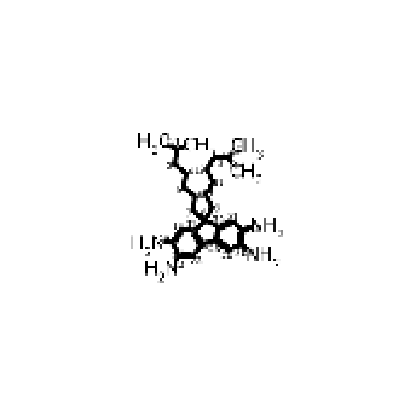 CC(C)CCCCCC1(CCCCCC(C)C)c2cc(N)c(N)cc2-c2cc(N)c(N)cc21